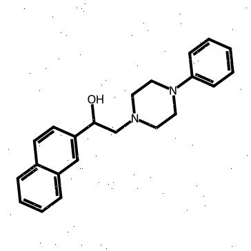 OC(CN1CCN(c2ccccc2)CC1)c1ccc2ccccc2c1